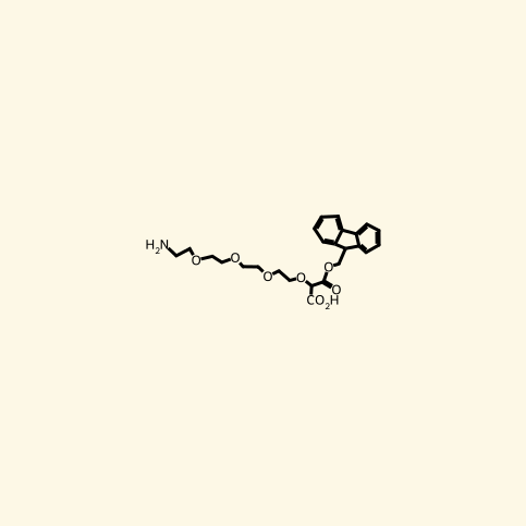 NCCOCCOCCOCCOC(C(=O)O)C(=O)OCC1c2ccccc2-c2ccccc21